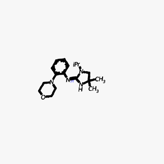 CC(C)N1CC(C)(C)N/C1=N/c1ccccc1N1CCOCC1